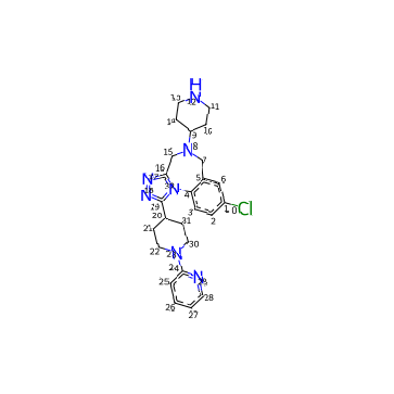 Clc1ccc2c(c1)CN(C1CCNCC1)Cc1nnc(C3CCN(c4ccccn4)CC3)n1-2